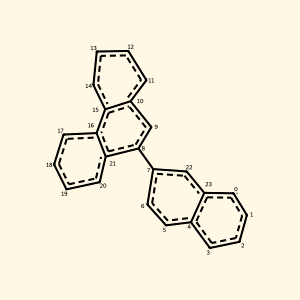 [c]1cccc2ccc(-c3cc4ccccc4c4ccccc34)cc12